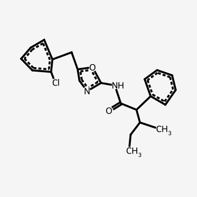 CCC(C)C(C(=O)Nc1ncc(Cc2ccccc2Cl)o1)c1ccccc1